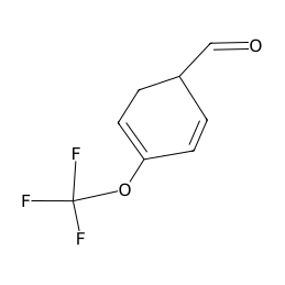 O=CC1C=CC(OC(F)(F)F)=CC1